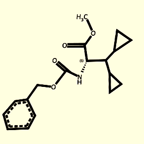 COC(=O)[C@@H](NC(=O)OCc1ccccc1)C(C1CC1)C1CC1